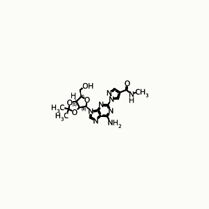 CNC(=O)c1cnn(-c2nc(N)c3ncn([C@@H]4O[C@H](CO)[C@@H]5OC(C)(C)OC54)c3n2)c1